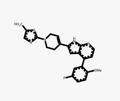 COc1ccc(F)cc1-c1ccnc2[nH]c(C3=CCN(c4ncc(C(=O)O)s4)CC3)cc12